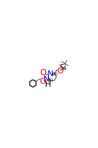 CC(C)(C)[Si](C)(C)OC[C@H]1CC[C@H]2CN1C(=O)N2OCc1ccccc1